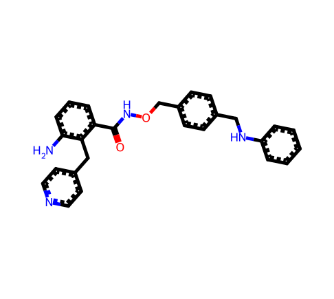 Nc1cccc(C(=O)NOCc2ccc(CNc3ccccc3)cc2)c1Cc1ccncc1